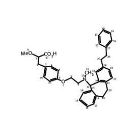 COC(Cc1ccc(OCCN(C)C2c3ccccc3CCc3ccc(CCc4ccccc4)cc32)cc1)C(=O)O